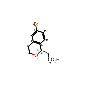 O=C(O)C[C@@H]1OCCc2cc(Br)ccc21